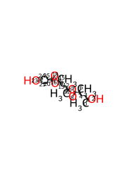 C/C(O)=C\C=C(/C)C(=O)O/C(C)=C/C=C(\C)OC(=O)c1ccc(O)cc1